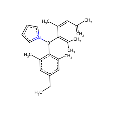 C=C(C)/C=C(/C)C(B(c1c(C)cc(CC)cc1C)n1cccc1)=C(C)C